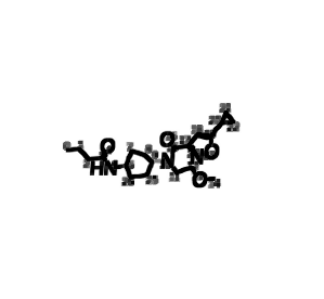 CCCC(=O)N[C@H]1CC[C@H](N(CCOC)C(=O)c2cc(C3CC3)on2)CC1